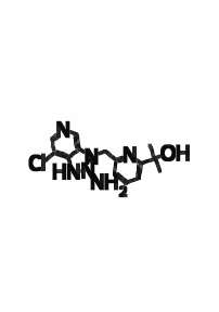 CC(C)(O)c1cccc(CN2c3cncc(Cl)c3NN2N)n1